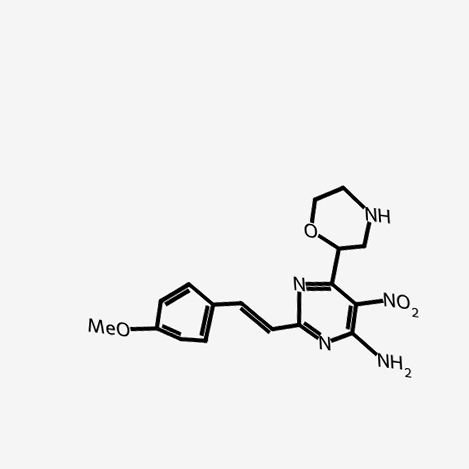 COc1ccc(C=Cc2nc(N)c([N+](=O)[O-])c(C3CNCCO3)n2)cc1